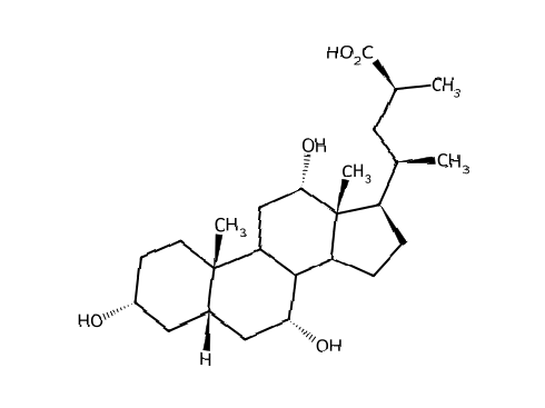 C[C@H](C[C@H](C)C(=O)O)[C@H]1CCC2C3C(C[C@H](O)[C@@]21C)[C@@]1(C)CC[C@@H](O)C[C@H]1C[C@H]3O